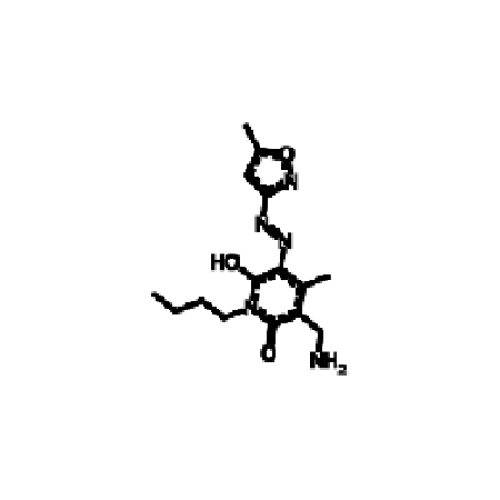 CCCCn1c(O)c(/N=N/c2cc(C)on2)c(C)c(CN)c1=O